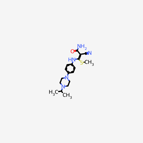 CSC(Nc1ccc(N2CCN(C(C)C)CC2)cc1)=C(C#N)C(N)=O